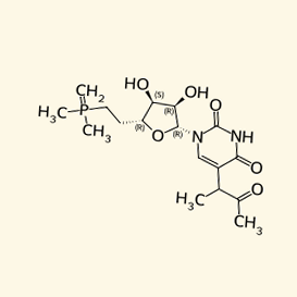 C=P(C)(C)CC[C@H]1O[C@@H](n2cc(C(C)C(C)=O)c(=O)[nH]c2=O)[C@H](O)[C@@H]1O